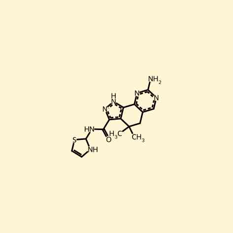 CC1(C)Cc2cnc(N)nc2-c2[nH]nc(C(=O)NC3NC=CS3)c21